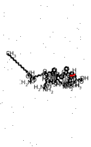 CCCCCCCCCCCCCCCCNC(=O)CN(CC(N)=O)C(=O)CCCCCNC(=O)C(Cc1c[nH]c2ccccc12)NC(=O)C(CCCNC(N)N)NC(=O)C(CS)NC(=O)C(CCCNC(N)N)NC(=O)C1CCCN(C(=O)C(NC(=O)C(Cc2c[nH]cn2)NC(=O)C(NC(=O)CNCC(=O)O)C(C)O)C(c2ccccc2)c2ccccc2)C1